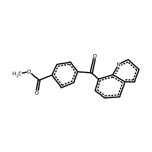 COC(=O)c1ccc(C(=O)c2cccc3cccnc23)cc1